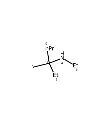 [CH2]CCC(C)(CC)NCC